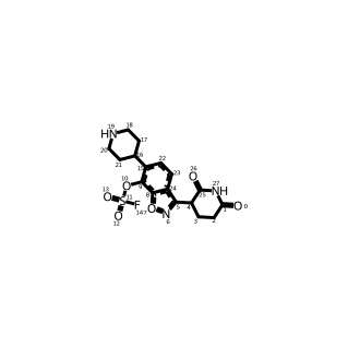 O=C1CCC(c2noc3c(OS(=O)(=O)F)c(C4CCNCC4)ccc23)C(=O)N1